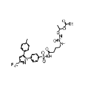 CCC(=O)OC(C)ON=[N+]([O-])N(C)CCCC(=O)NS(=O)(=O)c1ccc(-n2nc(C(F)(F)F)cc2-c2ccc(C)cc2)cc1